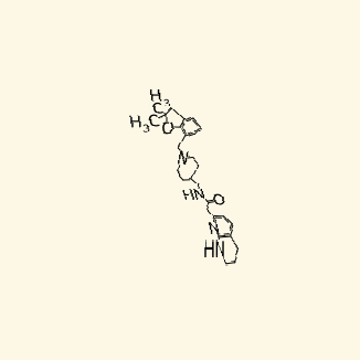 CC1(C)Cc2cccc(CN3CCC(CNC(=O)Cc4ccc5c(n4)NCCC5)CC3)c2O1